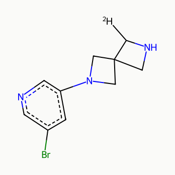 [2H]C1NCC12CN(c1cncc(Br)c1)C2